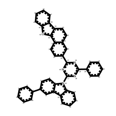 c1ccc(-c2ccc3c(c2)c2ccccc2n3-c2nc(-c3ccccc3)nc(-c3ccc4c(ccc5c6ccccc6oc45)c3)n2)cc1